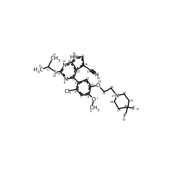 COc1cc(Cl)c(-c2nc(SC(C)C)nc3[nH]cc(C#N)c23)cc1OCCN1CCC(F)(F)CC1